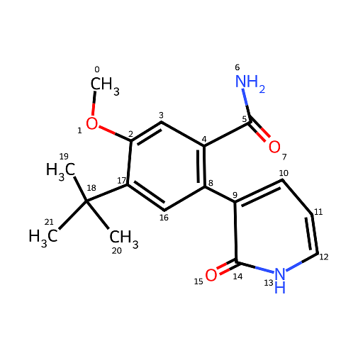 COc1cc(C(N)=O)c(-c2ccc[nH]c2=O)cc1C(C)(C)C